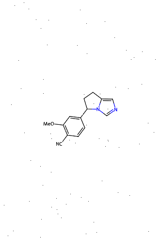 COc1cc(C2CCc3cncn32)ccc1C#N